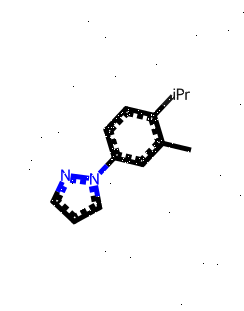 Cc1cc(-n2cccn2)ccc1C(C)C